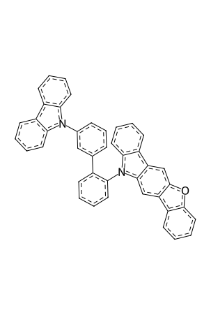 c1cc(-c2ccccc2-n2c3ccccc3c3cc4oc5ccccc5c4cc32)cc(-n2c3ccccc3c3ccccc32)c1